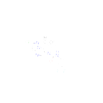 C[C@@]1(C(F)(F)F)CN(C(=O)N[C@H]2CCC(F)(F)C2)c2cnc3cc(Cl)nn3c21